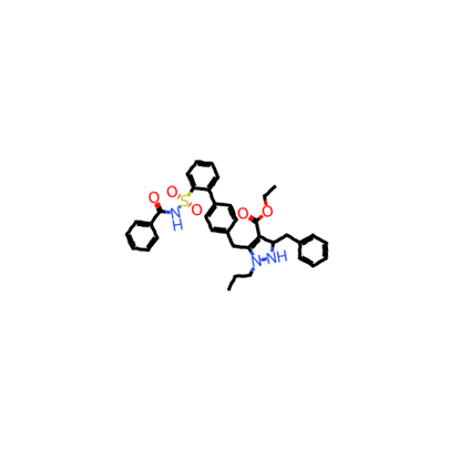 CCCN1NC(Cc2ccccc2)C(C(=O)OCC)=C1Cc1ccc(-c2ccccc2S(=O)(=O)NC(=O)c2ccccc2)cc1